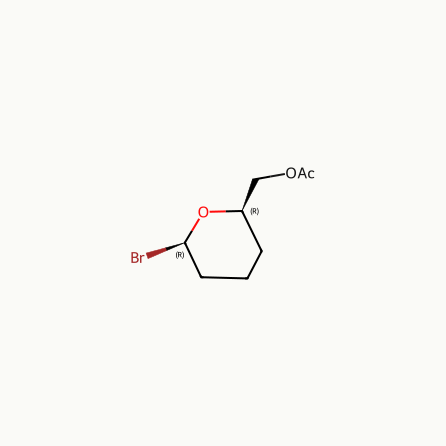 CC(=O)OC[C@H]1CCC[C@@H](Br)O1